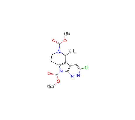 CC1c2c(n(C(=O)OC(C)(C)C)c3nnc(Cl)cc23)CCN1C(=O)OC(C)(C)C